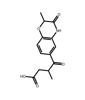 CC(CC(=O)O)C(=O)c1ccc2c(c1)NC(=O)C(C)O2